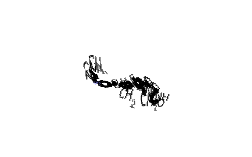 C=C[C@@]12C[C@@H](OC(=O)N3CCC/C(=C/c4ccc(C(=O)NC)nn4)CC3)C[C@@H]1CN(c1cc3c(cc1F)C(=O)N(C1CCC(=O)NC1=O)C3=C)C2